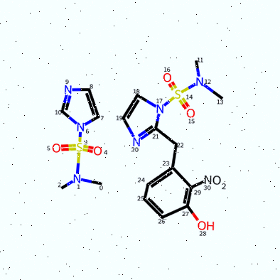 CN(C)S(=O)(=O)n1ccnc1.CN(C)S(=O)(=O)n1ccnc1Cc1cccc(O)c1[N+](=O)[O-]